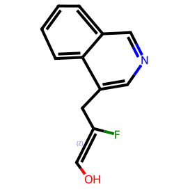 O/C=C(\F)Cc1cncc2ccccc12